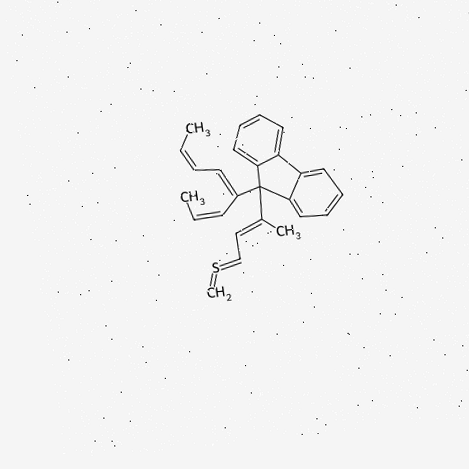 C=S=C/C=C(\C)C1(C(/C=C\C)=C/C=C\C)c2ccccc2-c2ccccc21